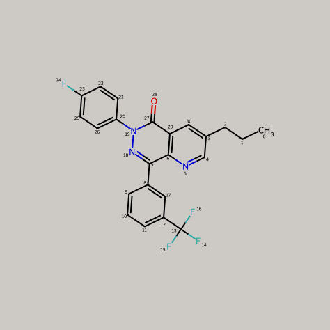 CCCc1cnc2c(-c3cccc(C(F)(F)F)c3)nn(-c3ccc(F)cc3)c(=O)c2c1